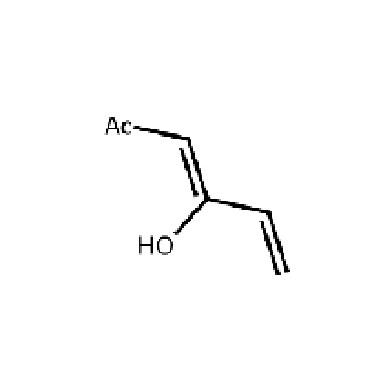 C=CC(O)=CC(C)=O